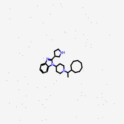 CC(C1CCCCCCC1)N1CCC(n2c(C3CCNC3)nc3ccccc32)CC1